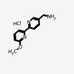 COc1cccc(-c2ccc(CN)cn2)n1.Cl